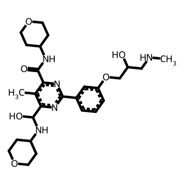 CNCC(O)COc1cccc(-c2nc(C(=O)NC3CCOCC3)c(C)c(C(O)NC3CCOCC3)n2)c1